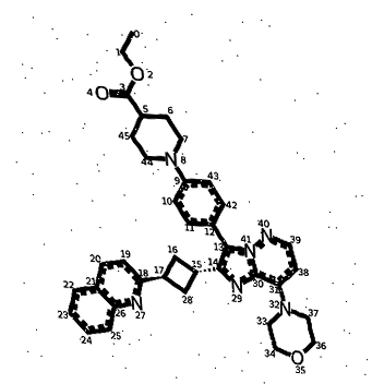 CCOC(=O)C1CCN(c2ccc(-c3c([C@H]4C[C@H](c5ccc6ccccc6n5)C4)nc4c(N5CCOCC5)ccnn34)cc2)CC1